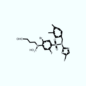 Cc1ccc(CN(c2ncc(F)s2)S(=O)(=O)c2cc(Br)c(N(CCCC=O)C(=O)O)cc2F)cc1C